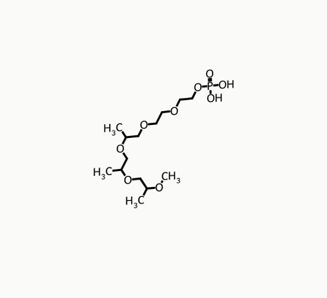 COC(C)COC(C)COC(C)COCCOCCOP(=O)(O)O